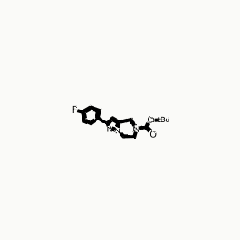 CC(C)(C)OC(=O)N1CCn2nc(-c3ccc(F)cc3)cc2C1